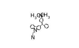 C[N+](C)=C1C=CC(=C(c2ccccc2)c2ccc3c(c2)c2ccccc2n3CCC#N)C=C1